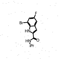 CC(C)NC(=O)c1cc2cc(F)cc(Br)c2[nH]1